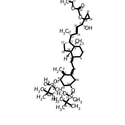 C=C1/C(=C\C=C2/CCC[C@]3(C)[C@@H]([C@H](C)/C=C/[C@@H](O)C4(OC(=O)OCC)CC4)CC[C@@H]23)C[C@@H](O[Si](C)(C)C(C)(C)C)C[C@@H]1O[Si](C)(C)C(C)(C)C